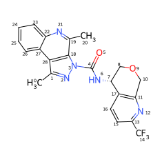 Cc1nn(C(=O)N[C@@H]2COCc3nc(C(F)(F)F)ccc32)c2c(C)nc3ccccc3c12